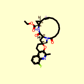 CCOC(=O)[C@@]12C[C@H]1/C=C\CCCCCCC(=O)N1C[C@@]3(CCc4c(c(C)nc5c(F)cccc45)O3)C[C@H]1C(=O)N2